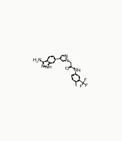 Cc1ccc(NC(=O)Cn2cc(-c3ccc4c(N)n[nH]c4c3)cn2)cc1C(F)(F)F